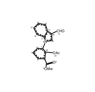 COC(=O)c1cccc(-n2cc(C=O)c3ccccc32)c1OC(C)=O